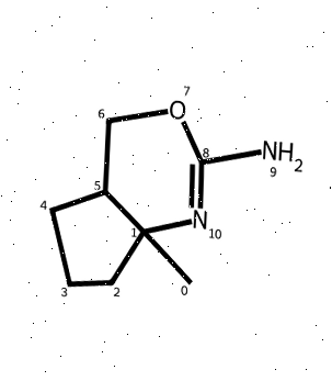 CC12CCCC1COC(N)=N2